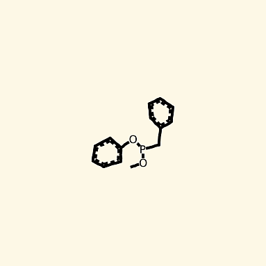 COP(Cc1ccccc1)Oc1ccccc1